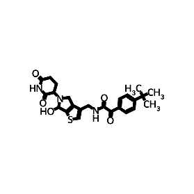 CC(C)(C)c1ccc(C(=O)C(=O)NCc2csc3c2CN(C2CCC(=O)NC2=O)C3O)cc1